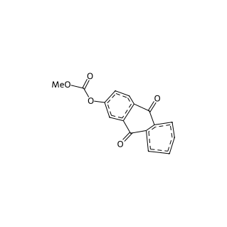 COC(=O)Oc1ccc2c(c1)C(=O)c1ccccc1C2=O